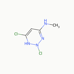 CNC1=NN(Cl)NC(Cl)=C1